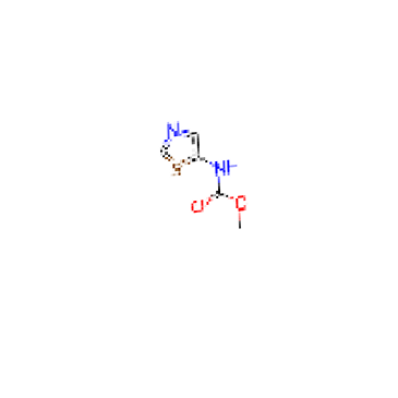 COC(=O)Nc1cncs1